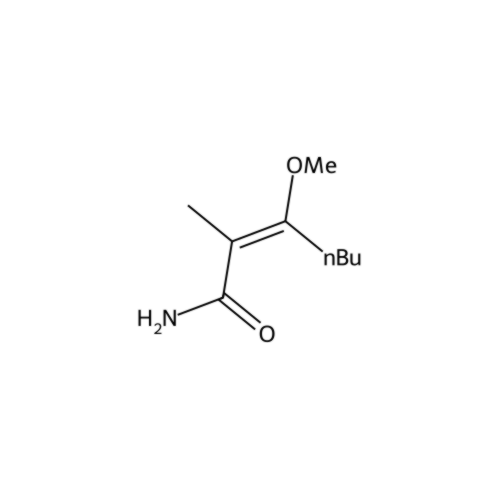 CCCCC(OC)=C(C)C(N)=O